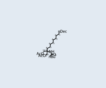 CCCCCCCCCCCCCCCCCCC(COC(C)=O)(COC(C)=O)NC(=O)CCCC